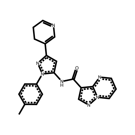 Cc1ccc(-n2nc(C3=CN=CCC3)cc2NC(=O)c2cnn3cccnc23)cc1